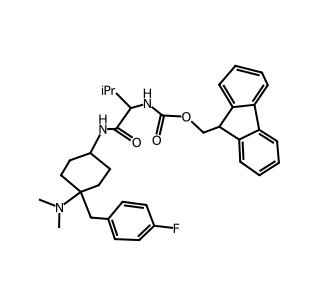 CC(C)C(NC(=O)OCC1c2ccccc2-c2ccccc21)C(=O)NC1CCC(Cc2ccc(F)cc2)(N(C)C)CC1